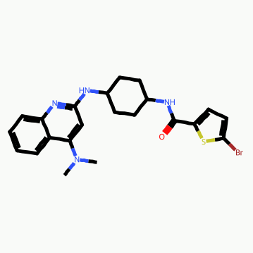 CN(C)c1cc(NC2CCC(NC(=O)c3ccc(Br)s3)CC2)nc2ccccc12